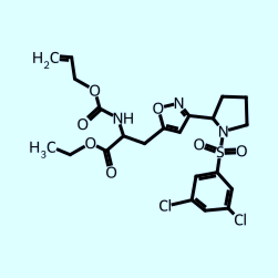 C=CCOC(=O)NC(Cc1cc(C2CCCN2S(=O)(=O)c2cc(Cl)cc(Cl)c2)no1)C(=O)OCC